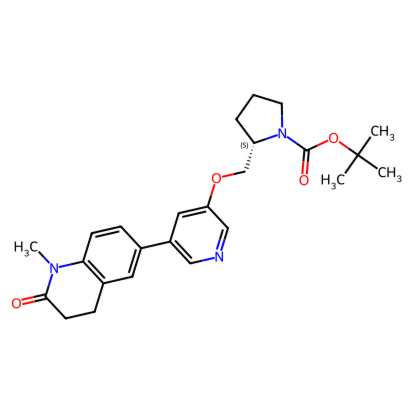 CN1C(=O)CCc2cc(-c3cncc(OC[C@@H]4CCCN4C(=O)OC(C)(C)C)c3)ccc21